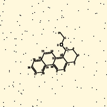 CCOC1CCCc2ccc3c(ccc4ccccc43)c21